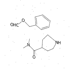 CN(C)C(=O)C1CCNCC1.O=COCc1ccccc1